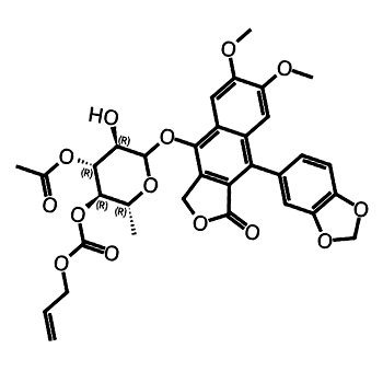 C=CCOC(=O)O[C@H]1[C@H](OC(C)=O)[C@@H](O)C(Oc2c3c(c(-c4ccc5c(c4)OCO5)c4cc(OC)c(OC)cc24)C(=O)OC3)O[C@@H]1C